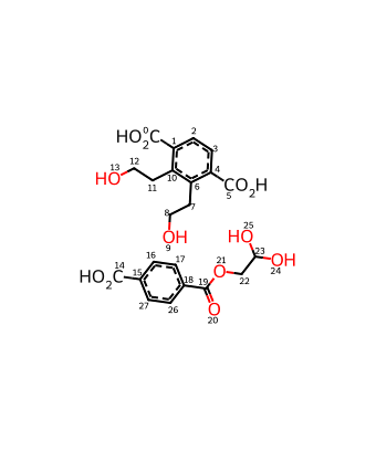 O=C(O)c1ccc(C(=O)O)c(CCO)c1CCO.O=C(O)c1ccc(C(=O)OCC(O)O)cc1